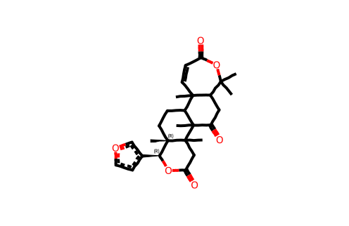 CC1(C)OC(=O)C=CC2(C)C1CC(=O)C1(C)C2CC[C@@]2(C)[C@H](c3ccoc3)OC(=O)CC12C